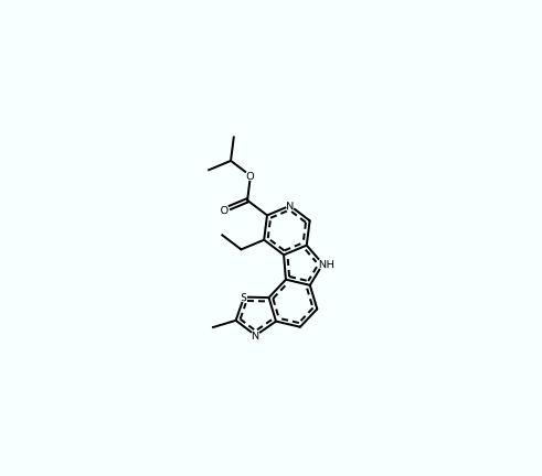 CCc1c(C(=O)OC(C)C)ncc2[nH]c3ccc4nc(C)sc4c3c12